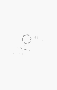 CC(C)COS(=O)(=O)c1cccc(N)c1